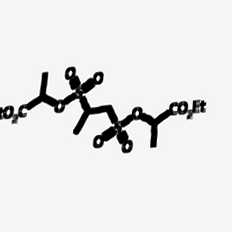 CCOC(=O)C(C)OS(=O)(=O)CC(C)S(=O)(=O)OC(C)C(=O)OCC